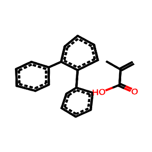 C=C(C)C(=O)O.c1ccc(-c2ccccc2-c2ccccc2)cc1